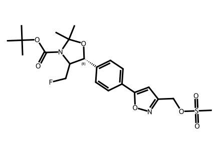 CC(C)(C)OC(=O)N1C(CF)[C@@H](c2ccc(-c3cc(COS(C)(=O)=O)no3)cc2)OC1(C)C